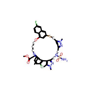 COC(=O)c1c(C)c2c3c(Cl)ccc2n1CCCOc1cc(cc2cc(F)ccc12)SCc1cc(nn1C)CN(S(N)(=O)=O)Cc1nn(C)c(C)c1-3